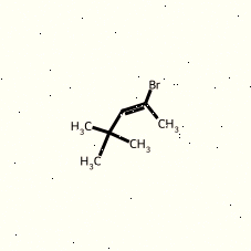 C/C(Br)=C\C(C)(C)C